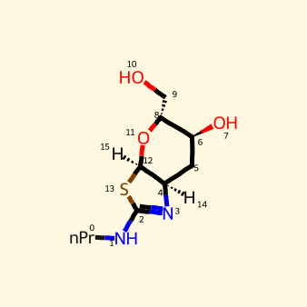 CCCNC1=N[C@@H]2C[C@H](O)[C@@H](CO)O[C@@H]2S1